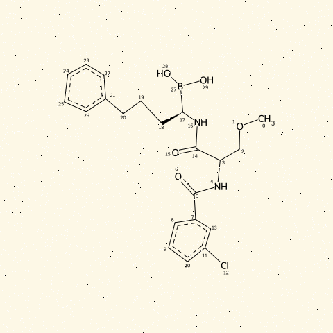 COCC(NC(=O)c1cccc(Cl)c1)C(=O)N[C@@H](CCCc1ccccc1)B(O)O